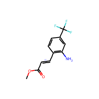 COC(=O)/C=C/c1ccc(C(F)(F)F)cc1N